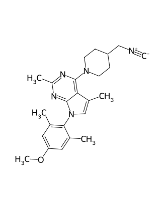 [C-]#[N+]CC1CCN(c2nc(C)nc3c2c(C)cn3-c2c(C)cc(OC)cc2C)CC1